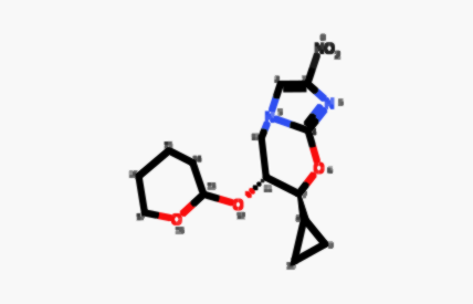 O=[N+]([O-])c1cn2c(n1)O[C@@H](C1CC1)[C@H](OC1CCCCO1)C2